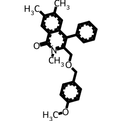 COc1ccc(COCc2c(-c3ccccc3)c3cc(C)c(C)cc3c(=O)n2C)cc1